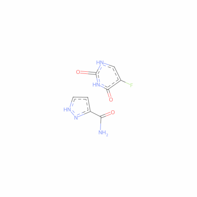 NC(=O)c1cc[nH]n1.O=c1[nH]cc(F)c(=O)[nH]1